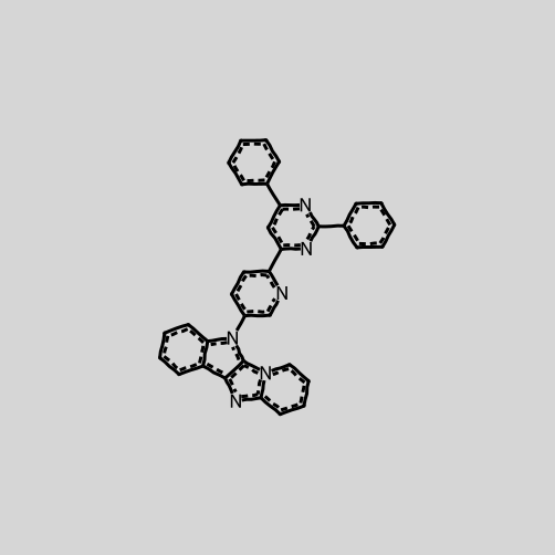 c1ccc(-c2cc(-c3ccc(-n4c5ccccc5c5nc6ccccn6c54)cn3)nc(-c3ccccc3)n2)cc1